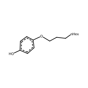 [CH2]CCCCCCCCOc1ccc(O)cc1